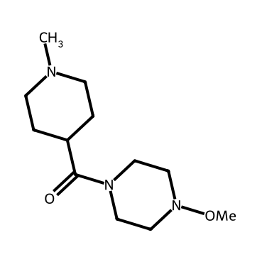 CON1CCN(C(=O)C2CCN(C)CC2)CC1